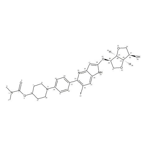 CN(C)C(=O)OC1CCN(c2ccc(-c3nc4cc(O[C@@H]5CO[C@H]6[C@@H]5OC[C@H]6O)[nH]c4cc3F)cc2)CC1